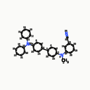 CN(c1ccc(-c2ccc(N(c3ccccc3)c3ccccc3)cc2)cc1)c1cccc(C#N)c1